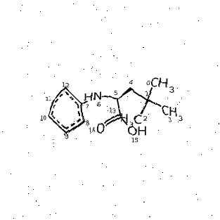 CC(C)(C)C[C@H](Nc1ccccc1)C(=O)O